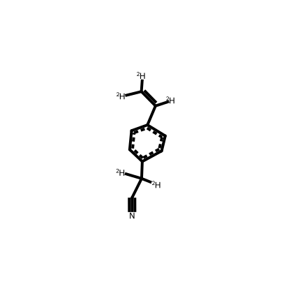 [2H]C([2H])=C([2H])c1ccc(C([2H])([2H])C#N)cc1